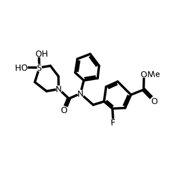 COC(=O)c1ccc(CN(C(=O)N2CCS(O)(O)CC2)c2ccccc2)c(F)c1